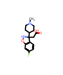 CN1CCC(C2(CC(=O)O)NOc3cc(F)ccc32)CC1